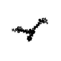 C=C(C)C(=O)OCCCCCCOc1ccc(C=Cc2ccccc2)c(OCCCCCCOC(=O)C(=C)C)c1C